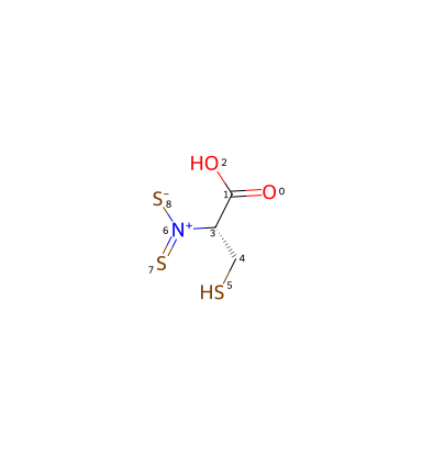 O=C(O)[C@H](CS)[N+](=S)[S-]